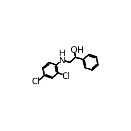 OC(CNc1ccc(Cl)cc1Cl)c1ccccc1